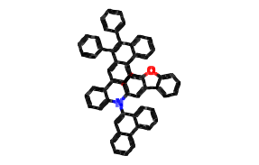 c1ccc(-c2c(-c3ccccc3)c3cc(-c4ccccc4N(c4ccc5oc6ccccc6c5c4)c4cc5ccccc5c5ccccc45)ccc3c3ccccc23)cc1